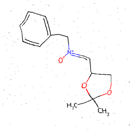 CC1(C)OCC(C=[N+]([O-])Cc2ccccc2)O1